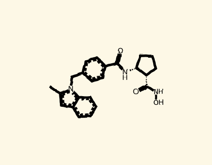 Cc1cc2ccccc2n1Cc1ccc(C(=O)N[C@@H]2CCC[C@@H]2C(=O)NO)cc1